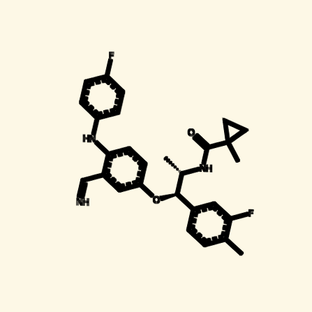 Cc1ccc([C@@H](Oc2ccc(Nc3ccc(F)cc3)c(C=N)c2)[C@H](C)NC(=O)C2(C)CC2)cc1F